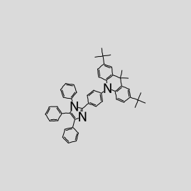 CC(C)(C)c1ccc2c(c1)C(C)(C)c1cc(C(C)(C)C)ccc1N2c1ccc(-c2nc(-c3ccccc3)c(-c3ccccc3)n2-c2ccccc2)cc1